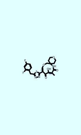 C/C1=C(/O)C(=O)/C(c2nnc(Cc3ccc(F)cc3F)s2)=C\OCC2(CCOCC2)NC1=O